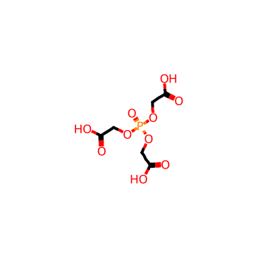 O=C(O)COP(=O)(OCC(=O)O)OCC(=O)O